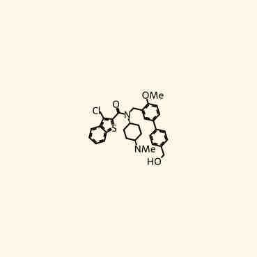 CN[C@H]1CC[C@@H](N(Cc2cc(-c3ccc(CO)cc3)ccc2OC)C(=O)c2sc3ccccc3c2Cl)CC1